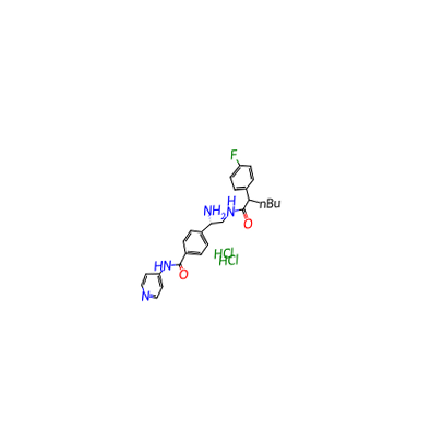 CCCCC(C(=O)NC[C@@H](N)c1ccc(C(=O)Nc2ccncc2)cc1)c1ccc(F)cc1.Cl.Cl